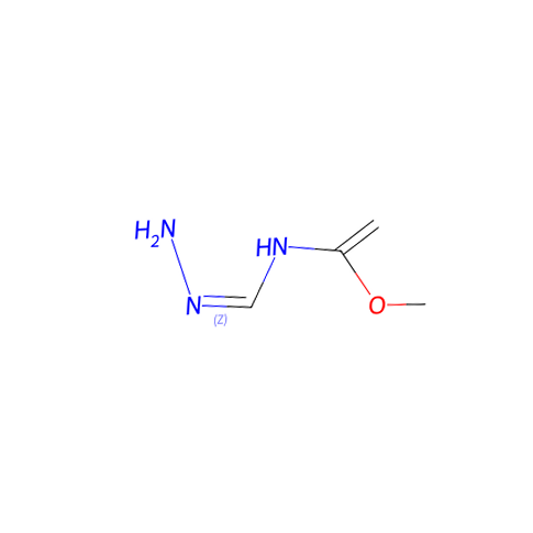 C=C(N/C=N\N)OC